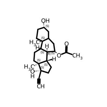 C#C[C@]1(O)CC[C@H]2[C@@H]3[C@@H](OC(C)=O)CC4C[C@@H](O)CC[C@]4(C)[C@H]3CC[C@@]21C